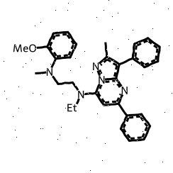 CCN(CCN(C)c1ccccc1OC)c1cc(-c2ccccc2)nc2c(-c3ccccc3)c(C)nn12